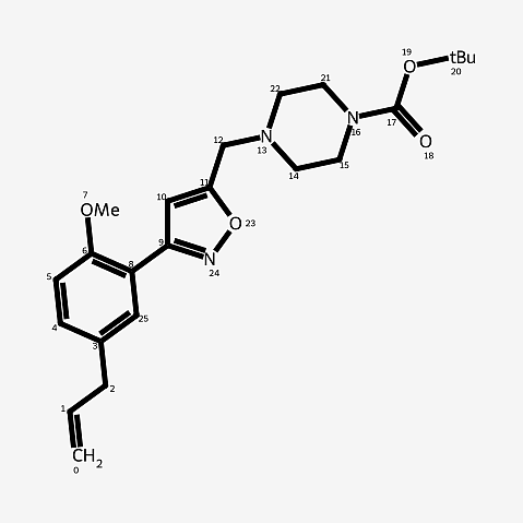 C=CCc1ccc(OC)c(-c2cc(CN3CCN(C(=O)OC(C)(C)C)CC3)on2)c1